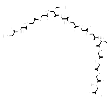 NCC(=O)NCC(=O)NCC(=O)NCC(=O)N[C@@H](CO)C(=O)NCC(=O)NCC(=O)NCC(=O)NCC(=O)N[C@@H](CO)C(=O)NCC(=O)NCC(=O)NCC(=O)NCC(=O)O